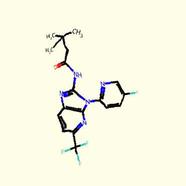 CC(C)(C)CC(=O)Nc1nc2ccc(C(F)(F)F)nc2n1-c1ccc(F)cn1